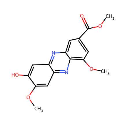 COC(=O)c1cc(OC)c2nc3cc(OC)c(O)cc3nc2c1